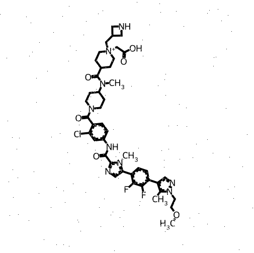 COCCn1ncc(-c2ccc(-c3cnc(C(=O)Nc4ccc(C(=O)N5CCC(N(C)C(=O)C6CC[N+](CC(=O)O)(CC7CNC7)CC6)CC5)c(Cl)c4)n3C)c(F)c2F)c1C